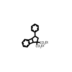 CCOC(=O)C1(C(=O)OCC)CC(c2ccccc2)C2c3ccccc3C21